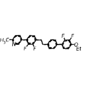 CCOc1ccc(-c2ccc(CCc3ccc(-c4ccc(C)nc4)c(F)c3F)cc2)c(F)c1F